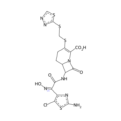 Nc1nc(/C(=N/O)C(=O)NC2C(=O)N3C(C(=O)O)=C(SCSc4nncs4)CCC23)c(Cl)s1